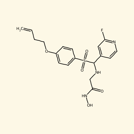 C=CCCOc1ccc(S(=O)(=O)C(NCC(=O)NO)c2ccnc(F)c2)cc1